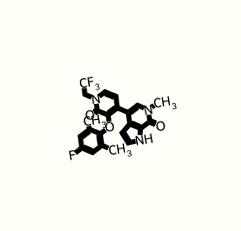 Cc1cc(F)cc(C)c1Oc1c(-c2cn(C)c(=O)c3[nH]ccc23)ccn(CC(F)(F)F)c1=O